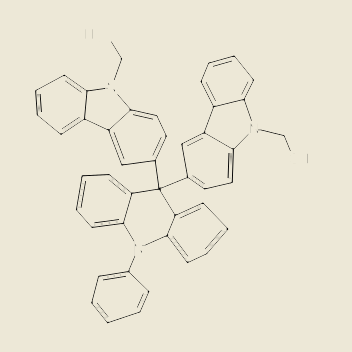 CCn1c2ccccc2c2cc(C3(c4ccc5c(c4)c4ccccc4n5CC)c4ccccc4N(c4ccccc4)c4ccccc43)ccc21